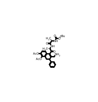 CC(=O)Oc1ccc2c(c1OC(C)=O)CC(c1ccccc1)C(CN)=C2C(=O)[C@H](C)NC(=O)[C@H](C)NC(=O)OC(C)(C)C